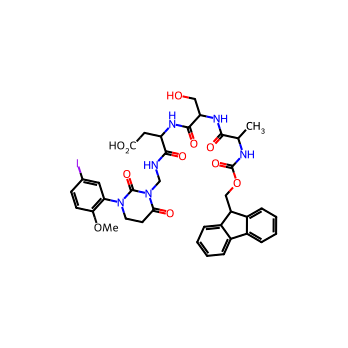 COc1ccc(I)cc1N1CCC(=O)N(CNC(=O)C(CC(=O)O)NC(=O)C(CO)NC(=O)C(C)NC(=O)OCC2c3ccccc3-c3ccccc32)C1=O